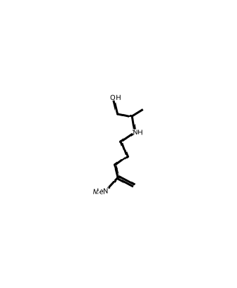 C=C(CCCNC(C)CO)NC